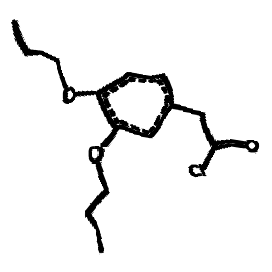 CCCOc1ccc(CC(=O)Cl)cc1OCCC